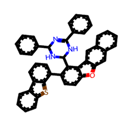 c1ccc(C2=NC(c3ccccc3)NC(c3c(-c4cccc5c4sc4ccccc45)ccc4oc5cc6ccccc6cc5c34)N2)cc1